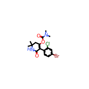 CN(C)C(=O)OC1=C(c2ccc(Br)cc2Cl)C(=O)NC(C)(C)C1